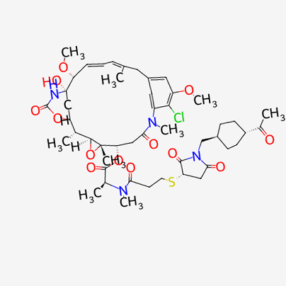 COc1cc2cc(c1Cl)N(C)C(=O)C[C@H](OC(=O)[C@H](C)N(C)C(=O)CCS[C@H]1CC(=O)N(C[C@H]3CC[C@H](C(C)=O)CC3)C1=O)[C@]1(C)O[C@H]1[C@H](C)[C@@H]1C[C@@](O)(NC(=O)O1)[C@H](OC)/C=C/C=C(\C)C2